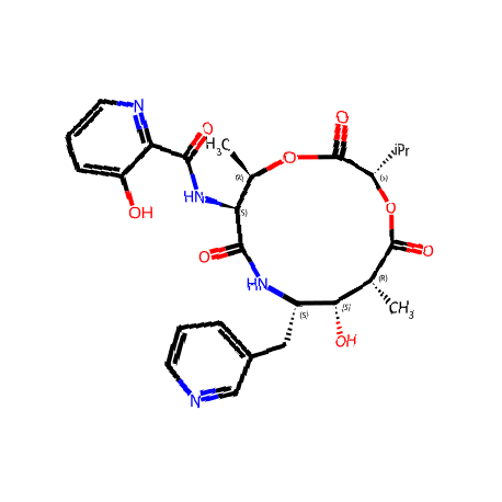 CC(C)[C@@H]1OC(=O)[C@H](C)[C@H](O)[C@H](Cc2cccnc2)NC(=O)[C@@H](NC(=O)c2ncccc2O)[C@@H](C)OC1=O